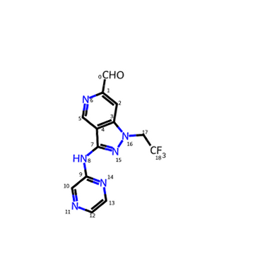 O=Cc1cc2c(cn1)c(Nc1cnccn1)nn2CC(F)(F)F